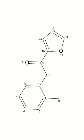 Cc1ccccc1CC(=O)c1ccco1